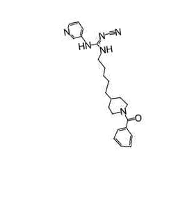 N#C/N=C(\NCCCCCC1CCN(C(=O)c2ccccc2)CC1)Nc1cccnc1